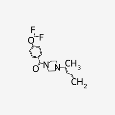 C=C/C=C(\C)N1CCN(C(=O)c2ccc(OC(F)F)cc2)CC1